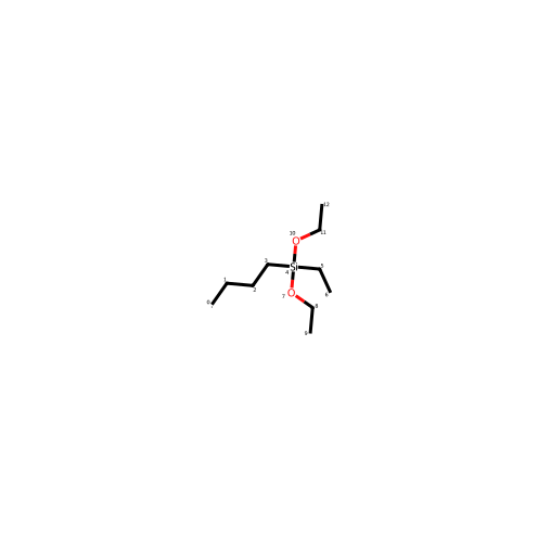 [CH2]CCC[Si](CC)(OCC)OCC